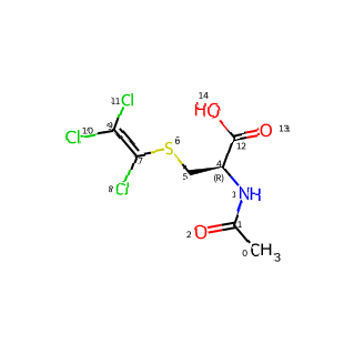 CC(=O)N[C@@H](CSC(Cl)=C(Cl)Cl)C(=O)O